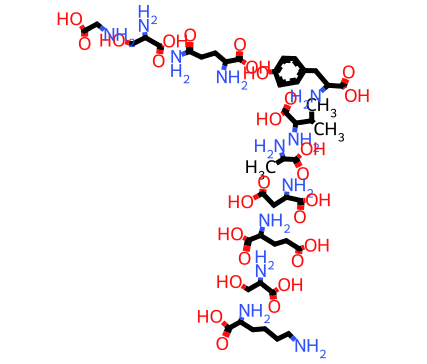 CC(C)C(N)C(=O)O.CC(N)C(=O)O.NC(=O)CCC(N)C(=O)O.NC(CC(=O)O)C(=O)O.NC(CCC(=O)O)C(=O)O.NC(CO)C(=O)O.NC(CO)C(=O)O.NC(Cc1ccc(O)cc1)C(=O)O.NCC(=O)O.NCCCCC(N)C(=O)O